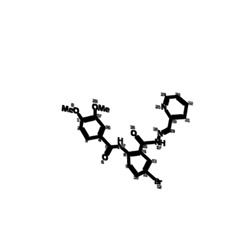 COc1ccc(C(=O)Nc2ccc(Br)cc2C(=O)NN=Cc2ccccn2)cc1OC